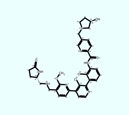 COc1nc(-c2ccnc(-c3cccc(NC(=O)c4ccc(CN5CC[C@@H](O)C5)cn4)c3Cl)c2Cl)ccc1CNC[C@@H]1CCC(=O)N1